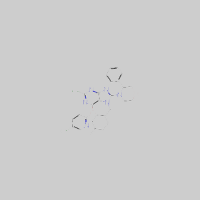 CC1CCC(Cn2c(N3CCOCC3c3ccccc3)nc3nc(Cl)nc(Oc4ccc(Cl)cn4)c32)CC1